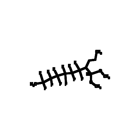 CCCC([SiH](OC)OC)C(F)(F)C(F)(F)C(F)(F)C(F)(F)C(F)(F)C(C)(F)F